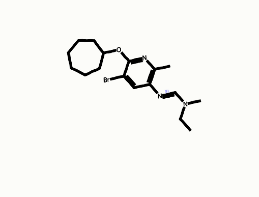 CCN(C)/C=N/c1cc(Br)c(OC2CCCCCC2)nc1C